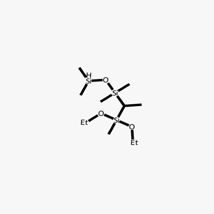 CCO[Si](C)(OCC)C(C)[Si](C)(C)O[SiH](C)C